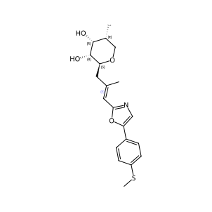 [CH2][C@@H]1CO[C@@H](C/C(C)=C/c2ncc(-c3ccc(SC)cc3)o2)[C@H](O)[C@@H]1O